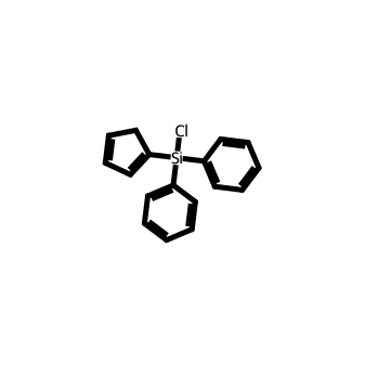 Cl[Si](C1=CC=CC1)(c1ccccc1)c1ccccc1